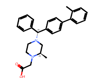 Cc1ccccc1-c1ccc([C@@H](c2ccccc2)N2CCN(CC(=O)O)[C@H](C)C2)cc1